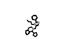 CCCCn1c(CN2CCc3ccccc3C2C2CCCC2)cnc1-c1ccccc1